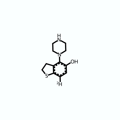 [2H]c1cc(O)c(N2CCNCC2)c2c1SCC2